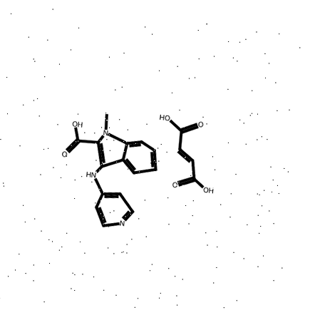 Cn1c(C(=O)O)c(Nc2ccncc2)c2ccccc21.O=C(O)C=CC(=O)O